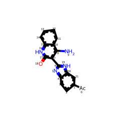 CC(=O)c1ccc2nc(-c3c(N)c4ccccc4[nH]c3=O)[nH]c2c1